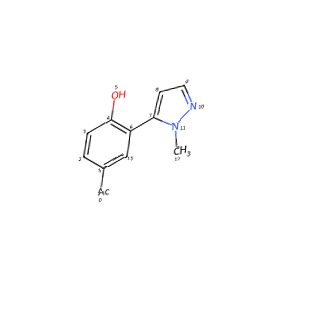 CC(=O)c1ccc(O)c(-c2ccnn2C)c1